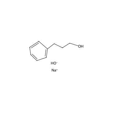 OCCCc1ccccc1.[Na+].[OH-]